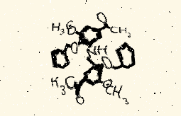 COc1cc(C(C)=O)cc(CNc2cc(C(C)=O)cc(OC)c2OCc2ccccc2)c1OCc1ccccc1